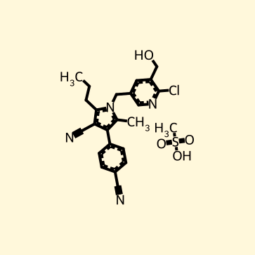 CCCc1c(C#N)c(-c2ccc(C#N)cc2)c(C)n1Cc1cnc(Cl)c(CO)c1.CS(=O)(=O)O